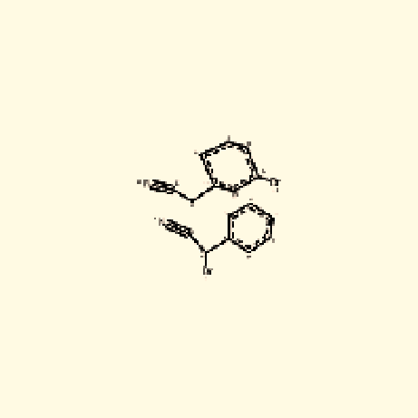 N#CC(Br)c1ccccc1.N#CCc1cccc(Br)c1